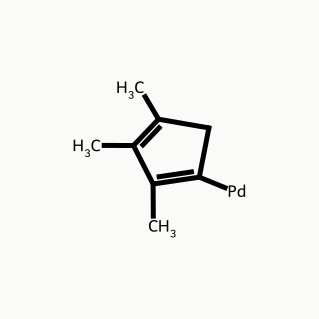 CC1=C(C)C(C)=[C]([Pd])C1